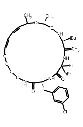 C=C1NC(CC)(CCC)C(=O)N[C@H](Cc2cccc(Cl)c2)C(=O)NCCCC/C=C\C=C/C(C)O[C@H](C)CN[C@H]1C(C)CC